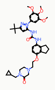 COc1cc(-n2nc(C(C)(C)C)cc2NC(=O)Nc2ccc(OCCN3CCN(CC4CC4)C(=O)C3)c3c2CCC3)cc(OC)c1OC